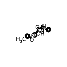 Cc1cccc(C(=O)N2CCC(O)(Cn3cnc4c(cnn4-c4ccccc4)c3=O)CC2)c1